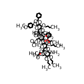 CCCCOC1[C@@H](OC(C)(C)[C@@H]2OC(COC(C)=O)[C@@H](O[C@@H]3OC(C(=O)OC)[C@H](O[C@@H]4OC(COC(C)=O)[C@@H](OCCCC)[C@H](OCCCC)C4N)C(OCCCC)[C@@H]3OC(=O)c3ccccc3)[C@H](OCCCC)C2N)C(C(=O)OC)O[C@@H](Oc2ccc(OC)cc2)[C@H]1OC(=O)c1ccccc1